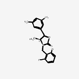 Cc1cc(C2OC(=O)N(Cc3c(F)cccc3Cl)[C@H]2C)cc(C(F)(F)F)c1